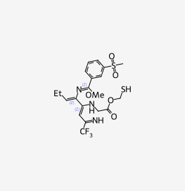 CC/C=C(\N=C(/OC)c1cccc(S(C)(=O)=O)c1)C(=C/C(=N)C(F)(F)F)/NCC(=O)OCS